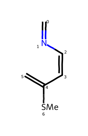 C=N/C=C\C(=C)SC